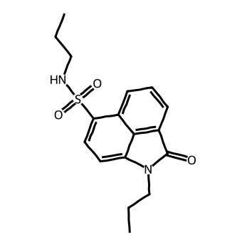 CCCNS(=O)(=O)c1ccc2c3c(cccc13)C(=O)N2CCC